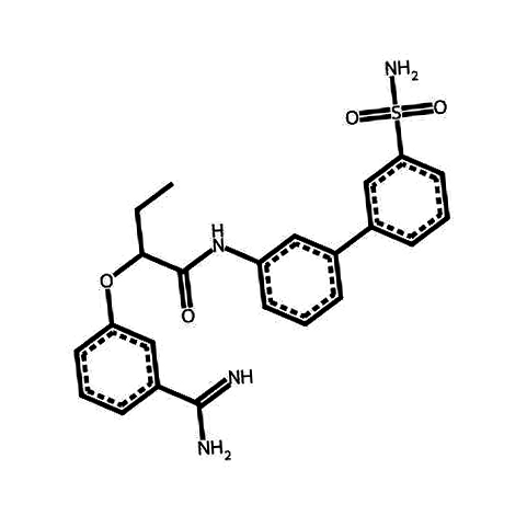 CCC(Oc1cccc(C(=N)N)c1)C(=O)Nc1cccc(-c2cccc(S(N)(=O)=O)c2)c1